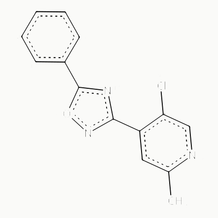 Cc1cc(-c2noc(-c3ccccc3)n2)c(Cl)cn1